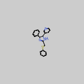 c1ccc(SCC2=NC(c3ccccc3)C(c3cccnc3)N2)cc1